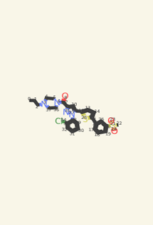 CCCN1CCN(C(=O)c2cc(-c3ccc(-c4cccc(S(C)(=O)=O)c4)s3)n(-c3ccccc3Cl)n2)CC1